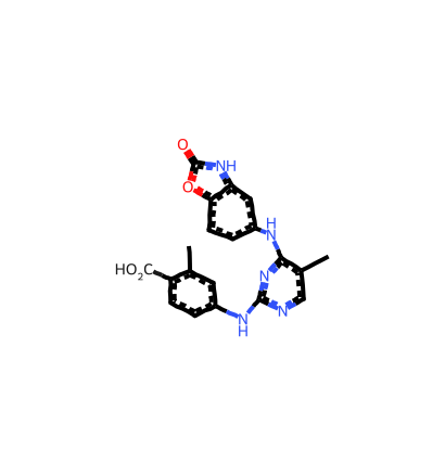 Cc1cc(Nc2ncc(C)c(Nc3ccc4oc(=O)[nH]c4c3)n2)ccc1C(=O)O